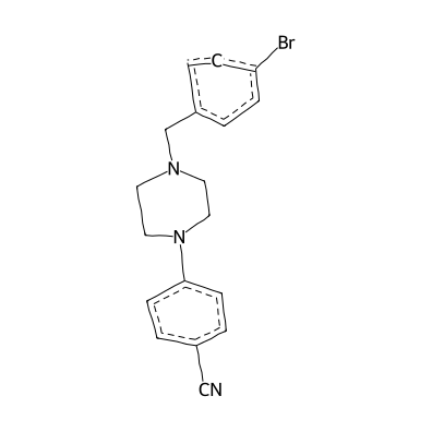 N#Cc1ccc(N2CCN(Cc3ccc(Br)cc3)CC2)cc1